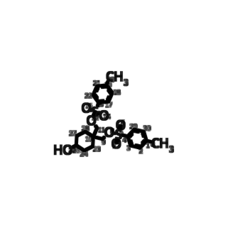 Cc1ccc(S(=O)(=O)OCC2(COS(=O)(=O)c3ccc(C)cc3)CCC(O)CC2)cc1